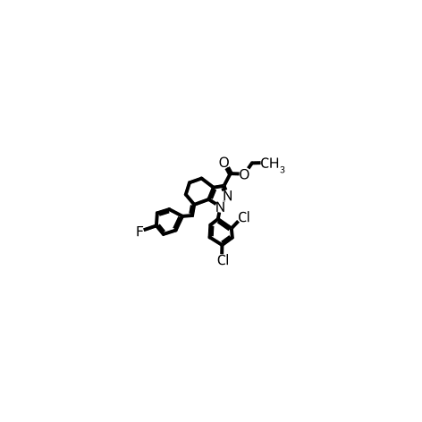 CCOC(=O)c1nn(-c2ccc(Cl)cc2Cl)c2c1CCC/C2=C\c1ccc(F)cc1